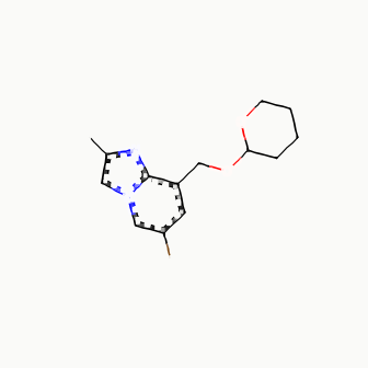 Cc1cn2cc(Br)cc(COC3CCCCO3)c2n1